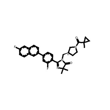 CC1(C(=O)N2CC[C@@H](CN3C(=O)C(C)(C)N=C3c3ccc(-c4ccc5cc(F)ccc5c4)cc3F)C2)CC1